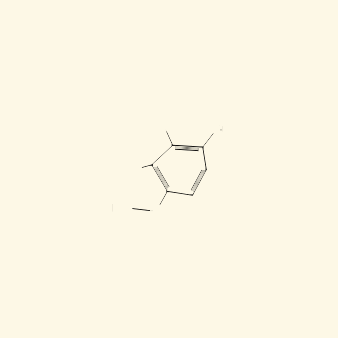 Cc1c(Br)ccc(OC(F)(F)F)c1F